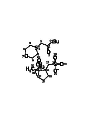 CC(C)(C)C(=O)C[S+]1CCOCC1.CC1(C)C2CCC1(CS(=O)(=O)[O-])C(=O)C2